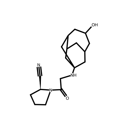 N#C[C@@H]1CCCN1C(=O)CNC12CC3CC(O)CC(C1)C(C3)C2